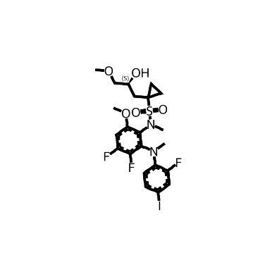 COC[C@@H](O)CC1(S(=O)(=O)N(C)c2c(OC)cc(F)c(F)c2N(C)c2ccc(I)cc2F)CC1